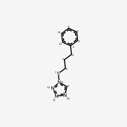 c1ccc(CCCSn2cnnn2)cc1